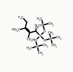 CCC(C(C(=O)O)=C(CC(F)(F)F)C(=O)O)[Si](O[Si](C)(C)C)(O[Si](C)(C)C)O[Si](C)(C)C